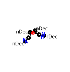 CCCCCCCCCCc1cnc([C@H]2CC[C@H](Cc3cc(CCCCCCCCCC)ccc3Oc3ccc(CCCCCCCCCC)cc3C[C@H]3CC[C@H](c4ncc(CCCCCCCCCC)cn4)CC3)CC2)nc1